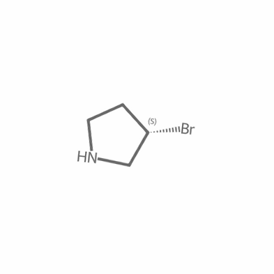 Br[C@H]1CCNC1